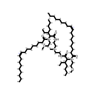 CCCCCCCC/C=C\CCCCCCCC(=O)N(CCOC)C(C(=O)NCCN(C)CCNC(=O)C(C(CC)CCCC)N(CCOC)C(=O)CCCCCCC/C=C\CCCCCCCC)C(CC)CCCC